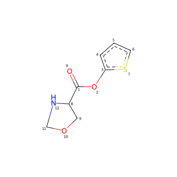 O=C(Oc1cccs1)C1COCN1